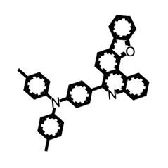 Cc1ccc(N(c2ccc(C)cc2)c2ccc(-c3nc4ccccc4c4c3ccc3c5ccccc5oc34)cc2)cc1